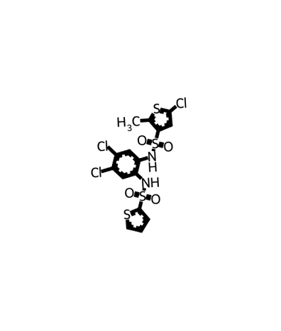 Cc1sc(Cl)cc1S(=O)(=O)Nc1cc(Cl)c(Cl)cc1NS(=O)(=O)c1cccs1